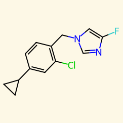 Fc1cn(Cc2ccc(C3CC3)cc2Cl)cn1